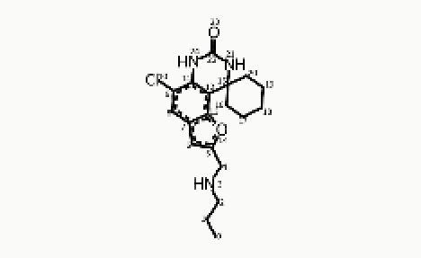 CCCNCc1cc2cc(Cl)c3c(c2o1)C1(CCCCC1)NC(=O)N3